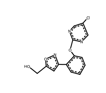 OCc1cc(-c2ccccc2Oc2ncc(Cl)cn2)no1